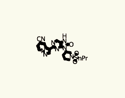 CCCS(=O)(=O)N1CCCC(n2c(=O)[nH]c3cnc(-c4cnn5ccc(C#N)cc45)nc32)C1